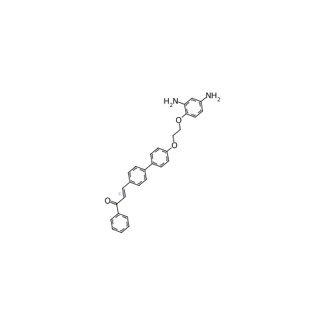 Nc1ccc(OCCOc2ccc(-c3ccc(/C=C/C(=O)c4ccccc4)cc3)cc2)c(N)c1